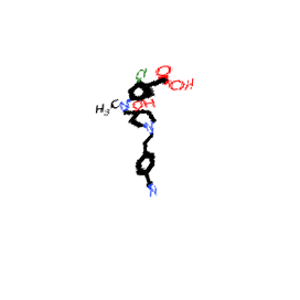 CN(CC1(O)CCN(CCc2ccc(C#N)cc2)CC1)c1ccc(C(=O)O)c(Cl)c1